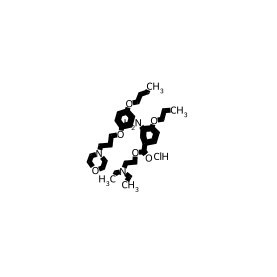 CCCCOc1ccc(OCCCN2CCOCC2)cc1.CCCOc1ccc(C(=O)OCCN(CC)CC)cc1N.Cl